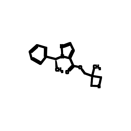 C[C@H](c1ccccc1)n1nccc1C(=O)OCC1(C)CSC1